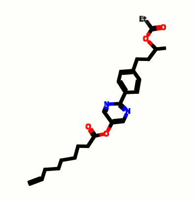 C=CCCCCCCC(=O)Oc1cnc(-c2ccc(CCC(C)OC(=O)CC)cc2)nc1